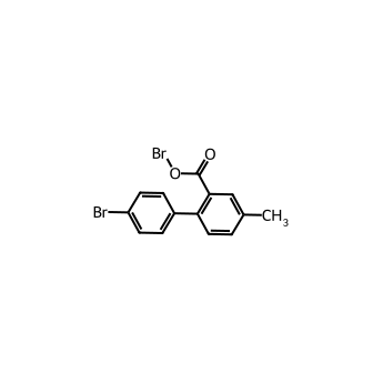 Cc1ccc(-c2ccc(Br)cc2)c(C(=O)OBr)c1